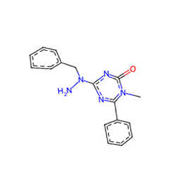 Cn1c(-c2ccccc2)nc(N(N)Cc2ccccc2)nc1=O